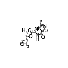 CCCCOC(C)c1nn2c(I)ncc2c(=O)[nH]1